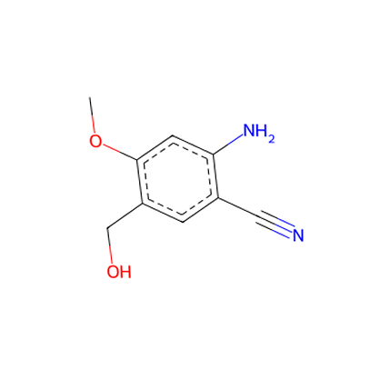 COc1cc(N)c(C#N)cc1CO